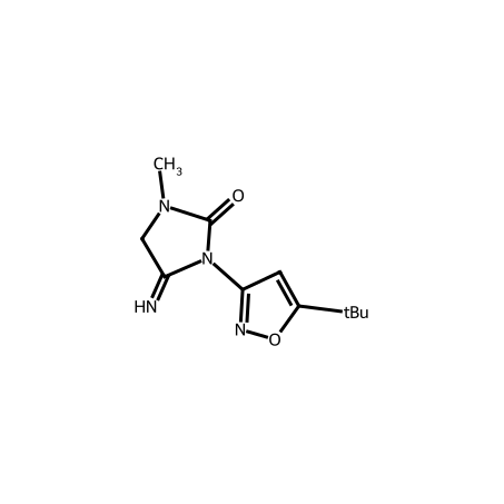 CN1CC(=N)N(c2cc(C(C)(C)C)on2)C1=O